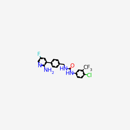 Nc1ncc(F)cc1-c1ccc(CNC(=O)Nc2ccc(Cl)c(C(F)(F)F)c2)cc1